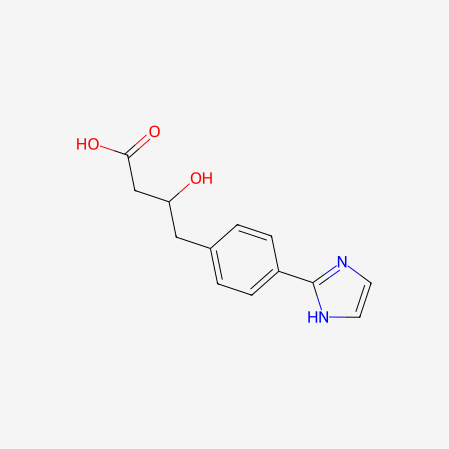 O=C(O)CC(O)Cc1ccc(-c2ncc[nH]2)cc1